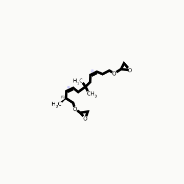 C[C@@H](/C=C\CC(C)(C)C/C=C\CCOC1CO1)COC1CO1